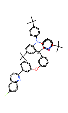 CC(C)(C)c1ccc(N(c2ccc(C(C)(C)C)cc2)c2ccc(C(C)(C)C)cc2[C@H](c2cccc(Oc3cccc(-c4ccc5cc(F)ccc5n4)c3)c2)c2ccccn2)cc1